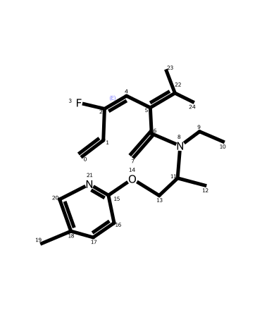 C=C/C(F)=C\C(C(=C)N(CC)C(C)COc1ccc(C)cn1)=C(C)C